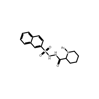 CC(=O)N1CCCCC1C(=O)NNS(=O)(=O)c1ccc2ccccc2c1